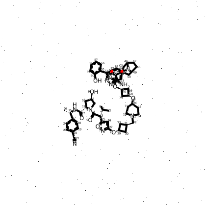 CC(C)[C@@H](C(=O)N1C[C@H](O)C[C@H]1C(=O)N[C@@H](C)c1ccc(C#N)cc1)c1cc(O[C@H]2C[C@H](CN3CCC(O[C@H]4C[C@H](Oc5cc(N6C7CCC6CN(c6cc(-c8ccccc8O)nnc6N)C7)ccn5)C4)CC3)C2)no1